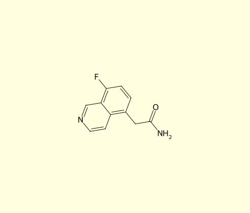 NC(=O)Cc1ccc(F)c2cnccc12